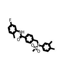 Cc1ccc(N(Cc2ccc(C(=O)Nc3cc(F)ccc3C)cc2)S(C)(=O)=O)cc1C